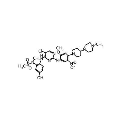 COc1cc(N2CCC(N3CCN(C)CC3)CC2)c([N+](=O)[O-])cc1Nc1ncc(Cl)c(Nc2ccc(O)cc2N(C)S(C)(=O)=O)n1